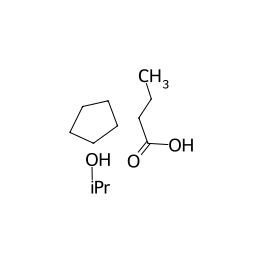 C1CCCC1.CC(C)O.CCCC(=O)O